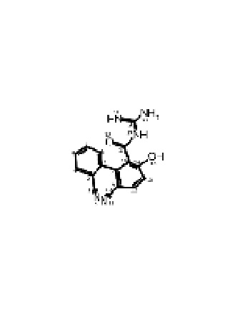 N#Cc1ccccc1-c1c(C#N)ccc(O)c1C(=O)NC(=N)N